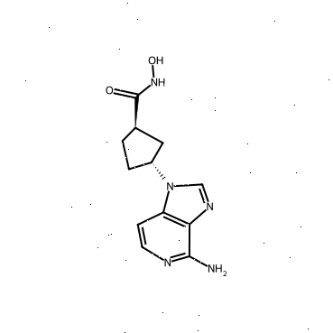 Nc1nccc2c1ncn2[C@@H]1CC[C@@H](C(=O)NO)C1